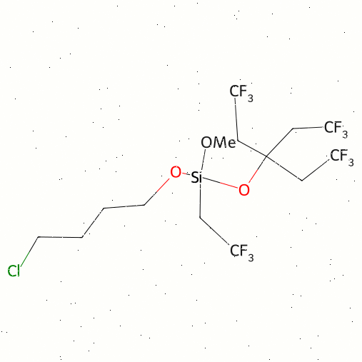 CO[Si](CC(F)(F)F)(OCCCCCl)OC(CC(F)(F)F)(CC(F)(F)F)CC(F)(F)F